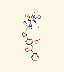 CCn1c(=O)c2c(nc(C3=C(c4ccc(CC(=O)c5ccccc5)c(OC)c4)O3)n2C)n(CC)c1=O